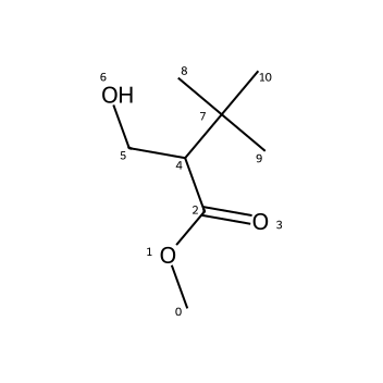 COC(=O)C(CO)C(C)(C)C